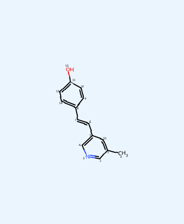 Cc1cncc(/C=C/c2ccc(O)cc2)c1